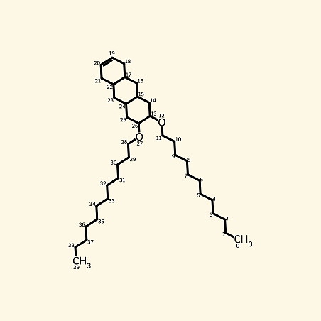 CCCCCCCCCCCCOC1CC2CC3CC=CCC3CC2CC1OCCCCCCCCCCCC